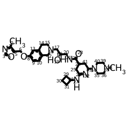 Cc1ncoc1COc1ccc2c(c1)CCN(C[C@@H](O)CNC(=O)C1CC(NC3CCC3)=NC(N3CCN(C)CC3)C1)C2